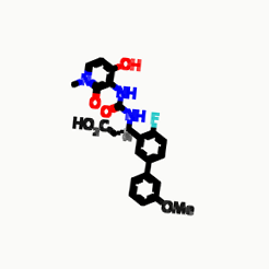 COc1cccc(-c2ccc(F)c([C@H](CC(=O)O)NC(=O)Nc3c(O)ccn(C)c3=O)c2)c1